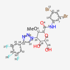 COC1C(C(=O)Nc2cc(Br)cc(Br)c2)OC(CO)C(O)C1n1cc(-c2cc(F)c(F)c(F)c2)nn1